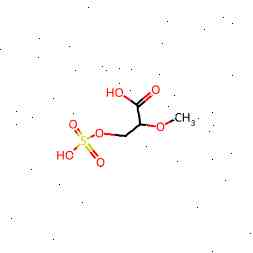 COC(COS(=O)(=O)O)C(=O)O